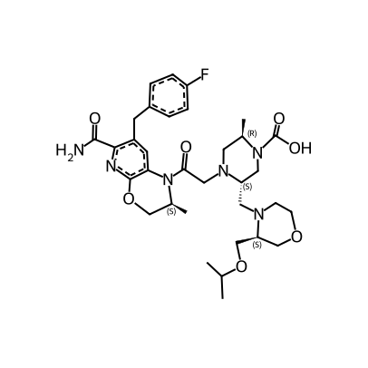 CC(C)OC[C@@H]1COCCN1C[C@H]1CN(C(=O)O)[C@H](C)CN1CC(=O)N1c2cc(Cc3ccc(F)cc3)c(C(N)=O)nc2OC[C@@H]1C